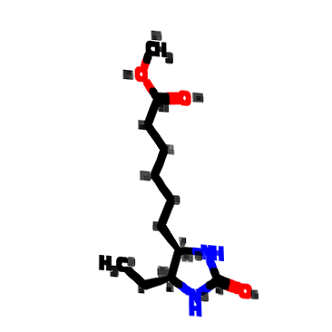 CC[C@@H]1NC(=O)N[C@@H]1CCCCCC(=O)OC